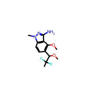 COc1c(C(OC)C(C)(F)F)ccc2c1c(N)nn2C